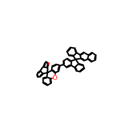 c1ccc2c(c1)Oc1cc(-c3ccc4c(c3)-c3ccccc3C43c4ccccc4-c4cc5ccccc5cc43)ccc1C21c2ccccc2-c2ccccc21